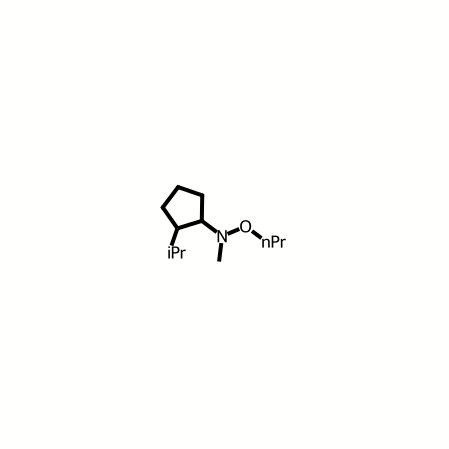 CCCON(C)C1CCCC1C(C)C